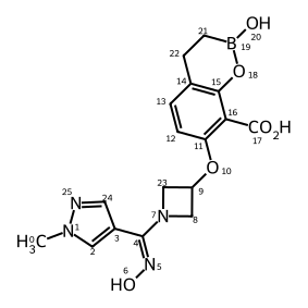 Cn1cc(/C(=N\O)N2CC(Oc3ccc4c(c3C(=O)O)OB(O)CC4)C2)cn1